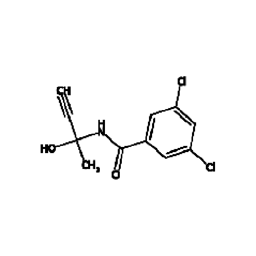 C#CC(C)(O)NC(=O)c1cc(Cl)cc(Cl)c1